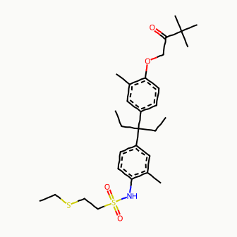 CCSCCS(=O)(=O)Nc1ccc(C(CC)(CC)c2ccc(OCC(=O)C(C)(C)C)c(C)c2)cc1C